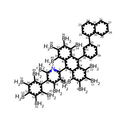 Bc1nc(-c2c3c(B)c(B)c(B)c(B)c3c(-c3cccc(-c4cccc5ccccc45)c3)c3c(B)c(B)c(B)c(B)c23)c(B)c(B)c1-c1c(B)c(B)c(B)c(B)c1B